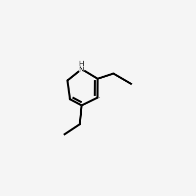 CCC1=[C]C(CC)=CCN1